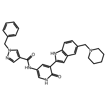 O=C(Nc1c[nH]c(=O)c(-c2cc3cc(CN4CCCCC4)ccc3[nH]2)c1)c1cnn(Cc2ccccc2)c1